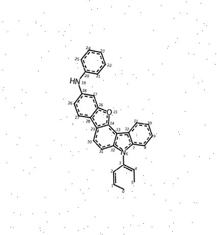 C/C=C\C(=C/C)n1c2ccccc2c2c3oc4cc(Nc5ccccc5)ccc4c3ccc21